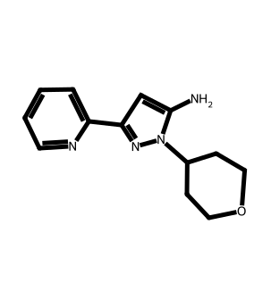 Nc1cc(-c2ccccn2)nn1C1CCOCC1